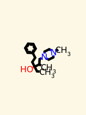 CCC(O)(CCc1ccccc1)C(C)CN1CCN(C)CC1